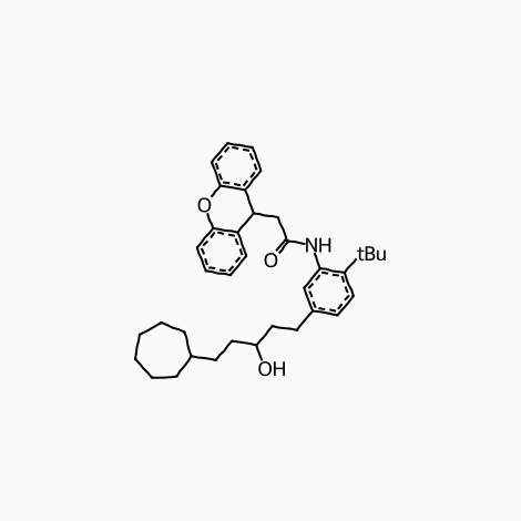 CC(C)(C)c1ccc(CCC(O)CCC2CCCCCC2)cc1NC(=O)CC1c2ccccc2Oc2ccccc21